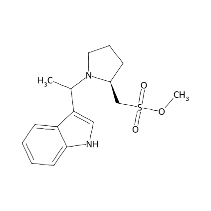 COS(=O)(=O)C[C@@H]1CCCN1C(C)c1c[nH]c2ccccc12